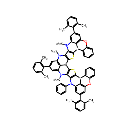 CSN1c2cc(-c3c(C)cccc3C)cc3c2B(c2ccccc2O3)c2sc3c(c21)N(SC)c1cc(-c2c(C)cccc2C)cc2c1B3c1sc3c(c1N2SC)N(c1ccccc1)c1cc(-c2c(C)cccc2C)cc2c1B3c1ccccc1O2